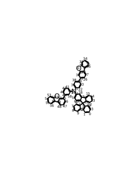 c1ccc(C2(c3ccccc3)c3ccccc3-c3cc(N(c4ccc(-c5ccc6c(c5)oc5ccccc56)cc4)c4cccc(-c5cccc6c5oc5ccccc56)c4)ccc32)cc1